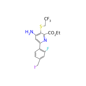 CCOC(=O)c1nc(-c2ccc(CI)cc2F)cc(N)c1SCC(F)(F)F